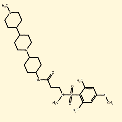 COc1cc(C)c(S(=O)(=O)N(C)CCC(=O)NC2CCC(N3CCC(C4CCN(C)CC4)CC3)CC2)c(C)c1